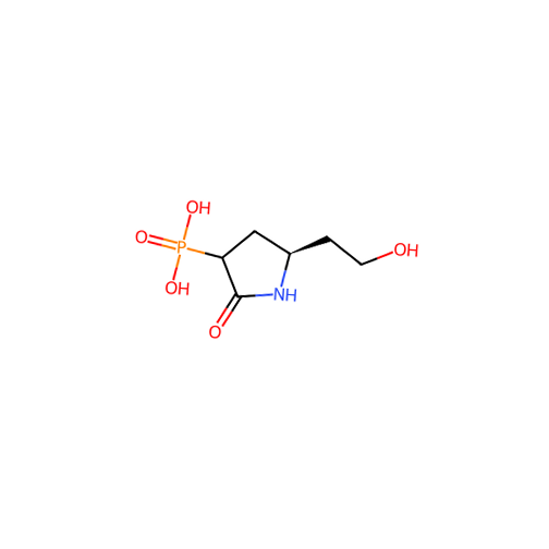 O=C1N[C@H](CCO)CC1P(=O)(O)O